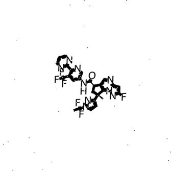 CC(F)(F)n1ccc([C@]2(C)C[C@@H](C(=O)Nc3cnc(-c4ncccn4)c(C(F)(F)F)c3)c3cnc4cc(F)nn4c32)n1